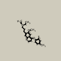 CCN(CC)CCCc1cc2nccc(Oc3ccc(C)cc3F)c2cc1OC